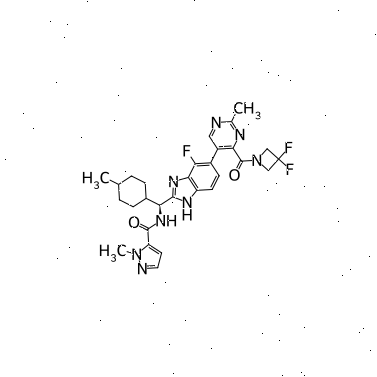 Cc1ncc(-c2ccc3[nH]c([C@@H](NC(=O)c4ccnn4C)C4CCC(C)CC4)nc3c2F)c(C(=O)N2CC(F)(F)C2)n1